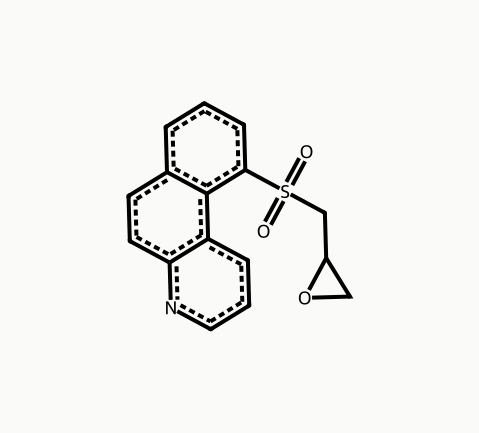 O=S(=O)(CC1CO1)c1cccc2ccc3ncccc3c12